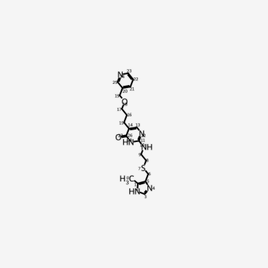 Cc1[nH]cnc1CSCCNc1ncc(CCCOCc2cccnc2)c(=O)[nH]1